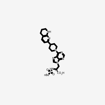 CCCCS(=O)(=O)N[C@@H](Cn1cnc2c(N3CCC(c4ccc5c(n4)NCCC5)CC3)ncnc21)C(=O)O